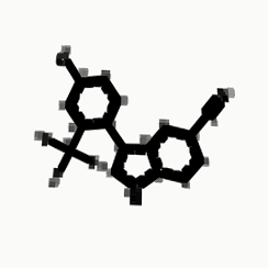 N#Cc1ccc2[nH]cc(-c3ccc(Cl)cc3C(F)(F)F)c2c1